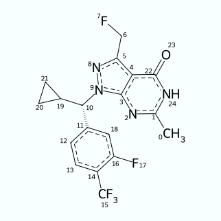 Cc1nc2c(c(CF)nn2[C@H](c2ccc(C(F)(F)F)c(F)c2)C2CC2)c(=O)[nH]1